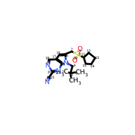 CC(C)(C)Cn1c(CS(=O)(=O)C2CCCC2)cc2cnc(C#N)nc21